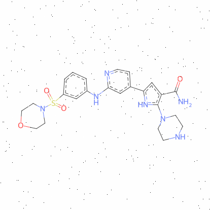 NC(=O)c1cc(-c2ccnc(Nc3cccc(S(=O)(=O)N4CCOCC4)c3)c2)[nH]c1N1CCNCC1